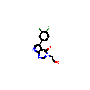 O=CCn1cnc2[nH]cc(-c3ccc(Cl)c(Cl)c3)c2c1=O